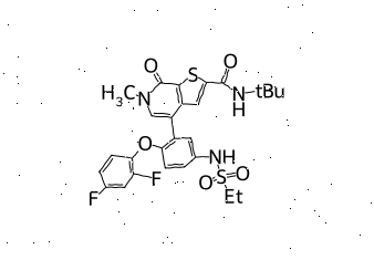 CCS(=O)(=O)Nc1ccc(Oc2ccc(F)cc2F)c(-c2cn(C)c(=O)c3sc(C(=O)NC(C)(C)C)cc23)c1